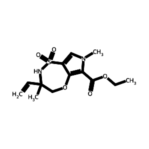 C=CC1(C)COc2c(cn(C)c2C(=O)OCC)S(=O)(=O)N1